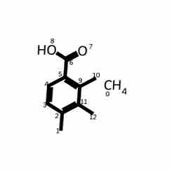 C.Cc1ccc(C(=O)O)c(C)c1C